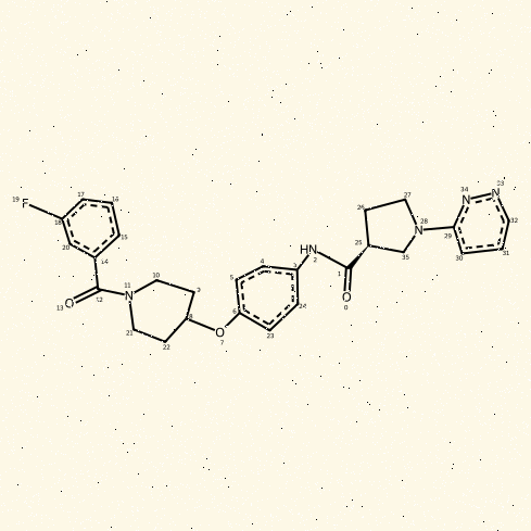 O=C(Nc1ccc(OC2CCN(C(=O)c3cccc(F)c3)CC2)cc1)[C@H]1CCN(c2cccnn2)C1